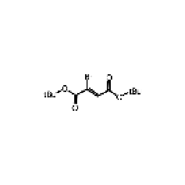 CC(C)(C)OC(=O)/C=C(\Br)C(=O)OC(C)(C)C